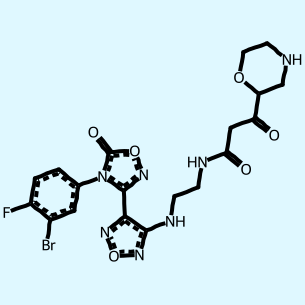 O=C(CC(=O)C1CNCCO1)NCCNc1nonc1-c1noc(=O)n1-c1ccc(F)c(Br)c1